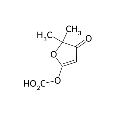 CC1(C)OC(OC(=O)O)=CC1=O